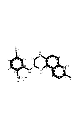 Cc1ccc2c3c(ccc2n1)OC[C@@H](Cc1cc(Br)ccc1S(=O)(=O)O)O3